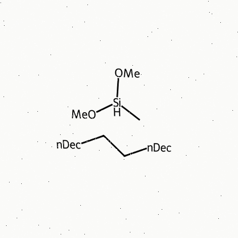 CCCCCCCCCCCCCCCCCCCCCC.CO[SiH](C)OC